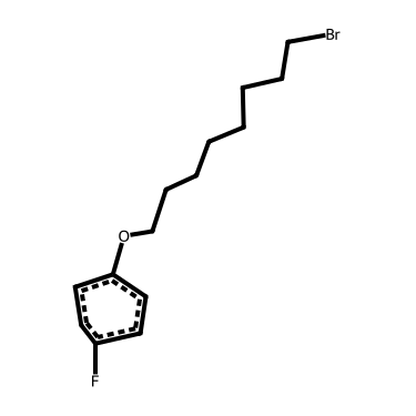 Fc1ccc(OCCCCCCCCBr)cc1